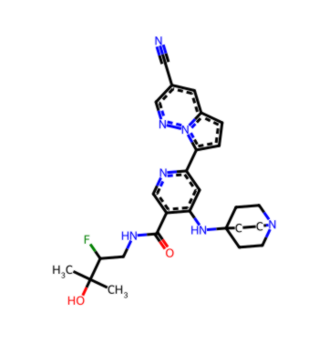 CC(C)(O)C(F)CNC(=O)c1cnc(-c2ccc3cc(C#N)cnn23)cc1NC12CCN(CC1)CC2